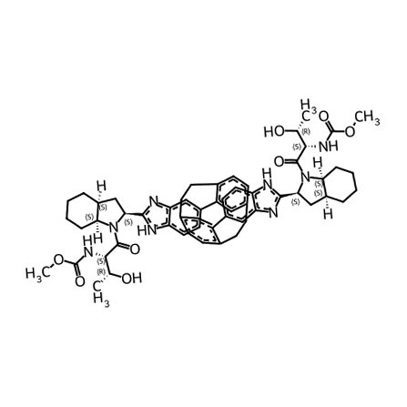 COC(=O)N[C@H](C(=O)N1[C@H](c2nc3cc(-c4cc5ccc4CCc4ccc(c(-c6ccc7[nH]c([C@@H]8C[C@@H]9CCCC[C@@H]9N8C(=O)[C@@H](NC(=O)OC)[C@@H](C)O)nc7c6)c4)CC5)ccc3[nH]2)C[C@@H]2CCCC[C@@H]21)[C@@H](C)O